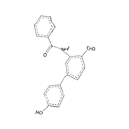 O=Cc1ccc(-c2ccc(O)cc2)cc1NC(=O)c1ccccc1